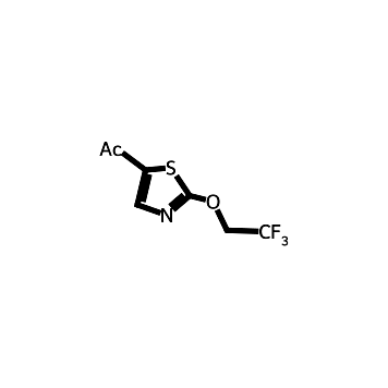 CC(=O)c1cnc(OCC(F)(F)F)s1